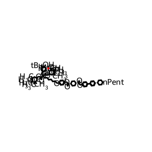 CCCCC[C@H]1CC[C@H](c2ccc(-c3ccc(OC(=O)[C@H]4CC[C@H](C(=O)Oc5ccc(OCCCCCCC(Cc6cc(C(C)(C)C)c(O)c(C(C)(C)C)c6)(C(=O)OC6CC(C)(C)N(C)C(C)(C)C6)C(=O)OC6CC(C)(C)N(C)C(C)(C)C6)cc5)CC4)cc3)cc2)CC1